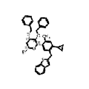 CC[C@@H]1C[C@H](OCc2ccccc2)[C@@H](OCc2ccccc2)[C@H](c2cc(Cc3cc4ccccc4s3)c(C3CC3)cc2C)O1